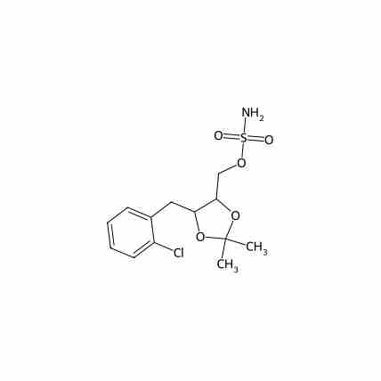 CC1(C)OC(COS(N)(=O)=O)C(Cc2ccccc2Cl)O1